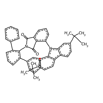 CC(C)(C)c1ccc2c3ccc(C(C)(C)C)cc3n(-c3cccc4c3C(=O)N(c3c(-c5ccccc5)cccc3-c3ccccc3)C4=O)c2c1